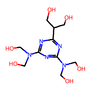 OCC(CO)c1nc(N(CO)CO)nc(N(CO)CO)n1